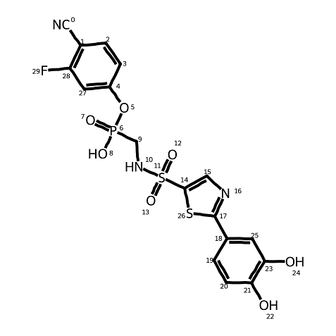 N#Cc1ccc(OP(=O)(O)CNS(=O)(=O)c2cnc(-c3ccc(O)c(O)c3)s2)cc1F